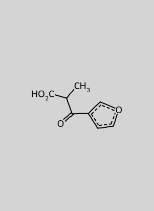 CC(C(=O)O)C(=O)c1ccoc1